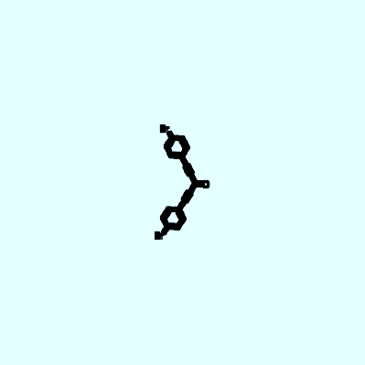 O=C(C#Cc1ccc(Br)cc1)C#Cc1ccc(Br)cc1